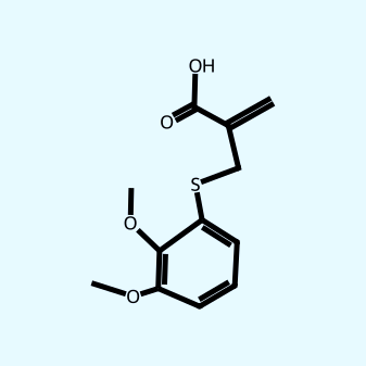 C=C(CSc1cccc(OC)c1OC)C(=O)O